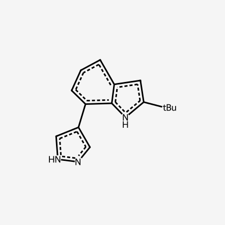 CC(C)(C)c1cc2cccc(-c3cn[nH]c3)c2[nH]1